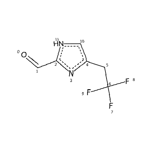 O=Cc1nc(CC(F)(F)F)c[nH]1